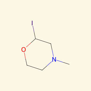 CN1CCOC(I)C1